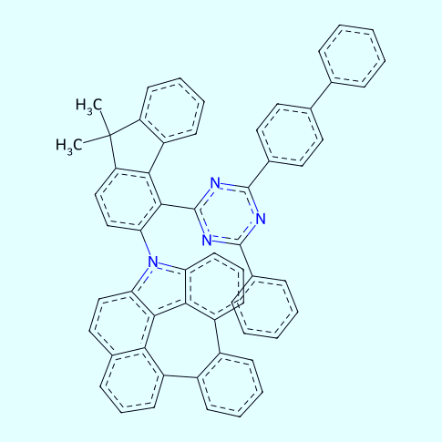 CC1(C)c2ccccc2-c2c1ccc(-n1c3cccc4c3c3c5c(cccc5ccc31)-c1ccccc1-4)c2-c1nc(-c2ccccc2)nc(-c2ccc(-c3ccccc3)cc2)n1